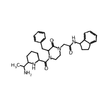 CC(N)C1CCCC(C(=O)N2CCN(CC(=O)NC3CCc4ccccc43)C(=O)C2Cc2ccccc2)N1